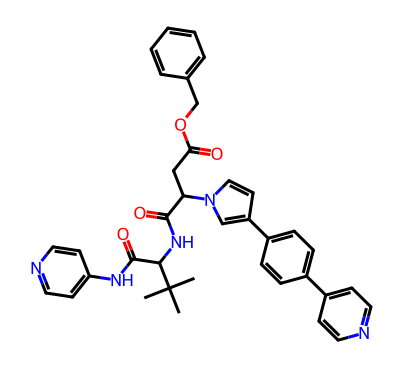 CC(C)(C)C(NC(=O)C(CC(=O)OCc1ccccc1)n1ccc(-c2ccc(-c3ccncc3)cc2)c1)C(=O)Nc1ccncc1